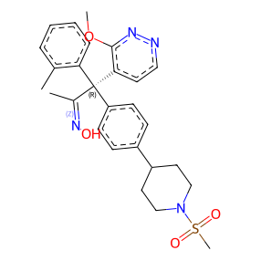 COc1nnccc1[C@@](/C(C)=N\O)(c1ccc(C2CCN(S(C)(=O)=O)CC2)cc1)c1ccccc1C